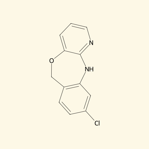 Clc1ccc2c(c1)Nc1ncccc1OC2